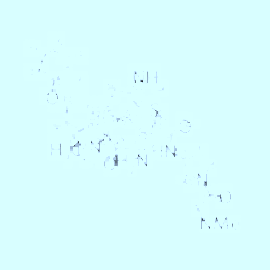 CNCC(=O)N1CCC(NC(=O)c2sc3c(N)ccc4c3c2C(N)C(=O)C4(N)c2ccc(Oc3ccccc3)cc2C)C1